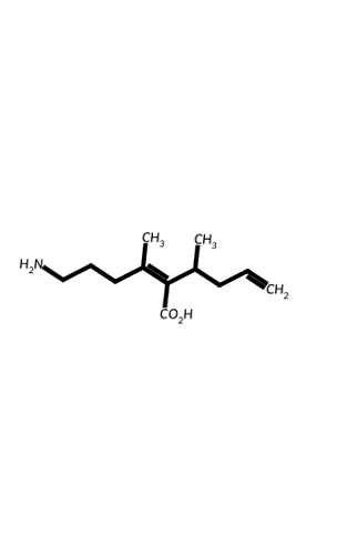 C=CCC(C)C(C(=O)O)=C(C)CCCN